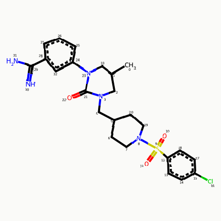 CC1CN(CC2CCN(S(=O)(=O)c3ccc(Cl)cc3)CC2)C(=O)N(c2cccc(C(=N)N)c2)C1